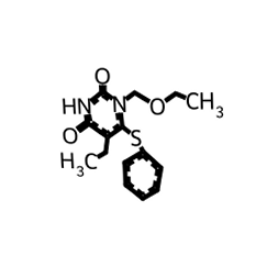 CCOCn1c(Sc2ccccc2)c(CC)c(=O)[nH]c1=O